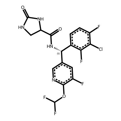 O=C1NCC(C(=O)N[C@@H](c2cnc(OC(F)F)c(F)c2)c2ccc(F)c(Cl)c2F)N1